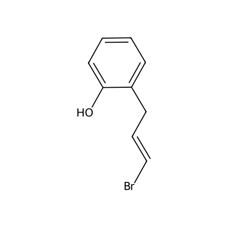 Oc1ccccc1CC=CBr